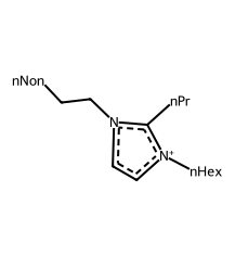 CCCCCCCCCCCn1cc[n+](CCCCCC)c1CCC